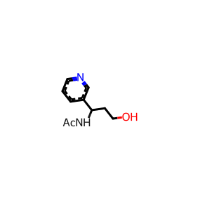 CC(=O)NC(CCO)c1cccnc1